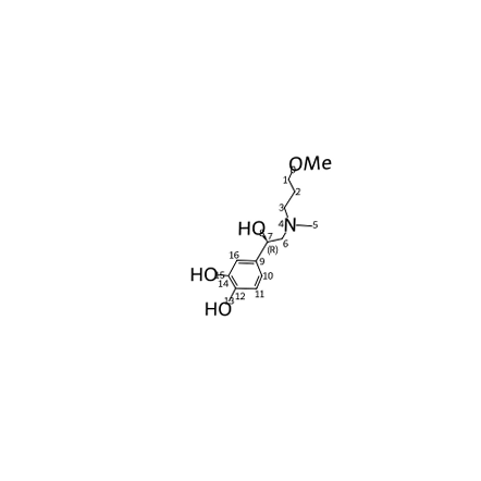 COCCCN(C)C[C@H](O)c1ccc(O)c(O)c1